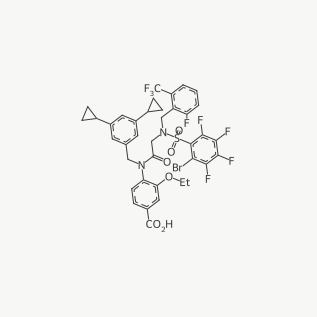 CCOc1cc(C(=O)O)ccc1N(Cc1cc(C2CC2)cc(C2CC2)c1)C(=O)CN(Cc1c(F)cccc1C(F)(F)F)S(=O)(=O)c1c(F)c(F)c(F)c(F)c1Br